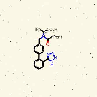 CCCCCC(=O)N(Cc1ccc(-c2ccccc2-c2nnn[nH]2)cc1)[C@H](C(=O)O)C(C)C